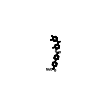 COC(=O)c1ccc(-c2ccc(C(=O)Oc3ccc(C(C)c4ccc(C)c(C)c4)cc3C)cc2)cc1